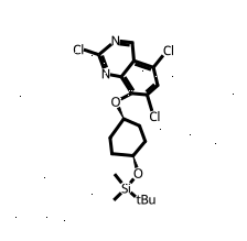 CC(C)(C)[Si](C)(C)O[C@H]1CC[C@@H](Oc2c(Cl)cc(Cl)c3cnc(Cl)nc23)CC1